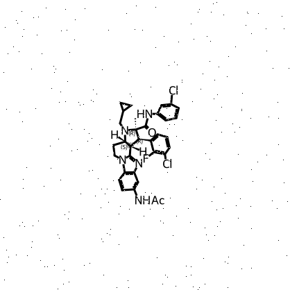 CC(=O)Nc1ccc2c(c1)nc1n2CC[C@H]2[C@@H]1[C@H](c1cccc(Cl)c1F)[C@](C)(C(=O)Nc1cccc(Cl)c1)N2CC1CC1